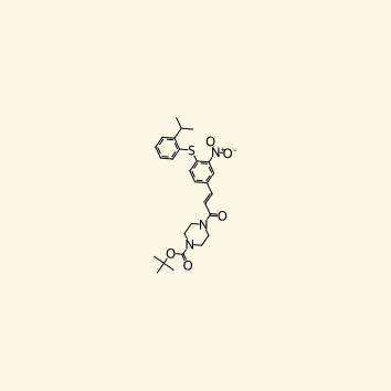 CC(C)c1ccccc1Sc1ccc(/C=C/C(=O)N2CCN(C(=O)OC(C)(C)C)CC2)cc1[N+](=O)[O-]